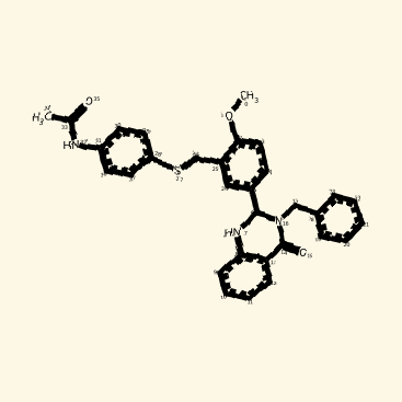 COc1ccc(C2Nc3ccccc3C(=O)N2Cc2ccccc2)cc1CSc1ccc(NC(C)=O)cc1